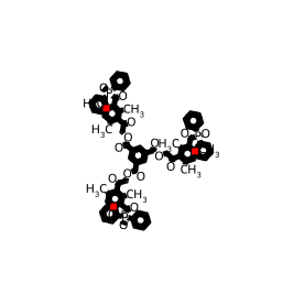 Cc1cc(C)c(C(=O)P(=O)(c2ccccc2)c2ccccc2)c(C)c1C(=O)COC(=O)c1cc(C(=O)OCC(=O)c2c(C)cc(C)c(C(=O)P(=O)(c3ccccc3)c3ccccc3)c2C)cc(C(=O)OCC(=O)c2c(C)cc(C)c(C(=O)P(=O)(c3ccccc3)c3ccccc3)c2C)c1